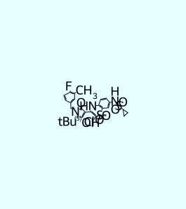 Cc1cc(CN2C(=O)C(C3=C(Cl)S(=O)(=O)c4cc(NS(=O)(=O)C5CC5)ccc4N3)=C(O)[C@@H]2C(C)(C)C)ccc1F